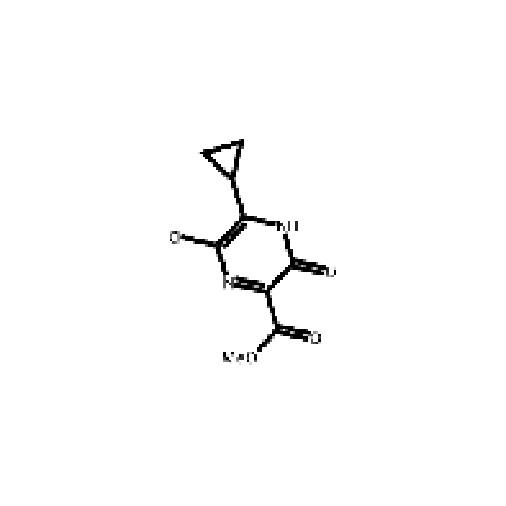 COC(=O)c1nc(Cl)c(C2CC2)[nH]c1=O